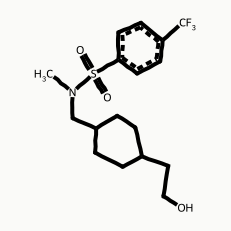 CN(CC1CCC(CCO)CC1)S(=O)(=O)c1ccc(C(F)(F)F)cc1